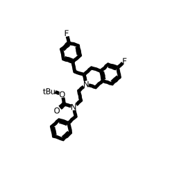 CC(C)(C)OC(=O)N(CCN1Cc2ccc(F)cc2CC1Cc1ccc(F)cc1)Cc1ccccc1